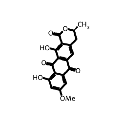 COc1cc(O)c2c(c1)C(=O)c1cc3c(c(O)c1C2=O)C(=O)O[C@@H](C)C3